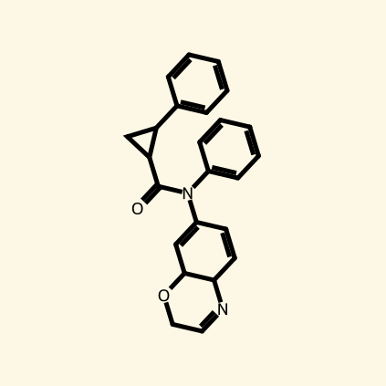 O=C(C1CC1c1ccccc1)N(C1=CC2OCC=NC2C=C1)c1ccccc1